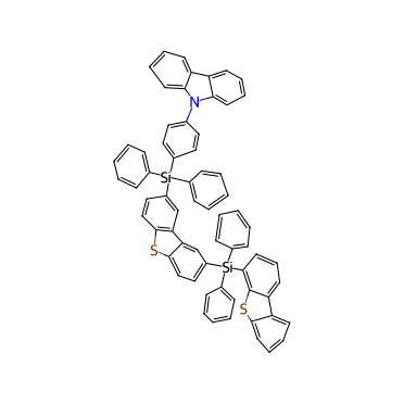 c1ccc([Si](c2ccccc2)(c2ccc(-n3c4ccccc4c4ccccc43)cc2)c2ccc3sc4ccc([Si](c5ccccc5)(c5ccccc5)c5cccc6c5sc5ccccc56)cc4c3c2)cc1